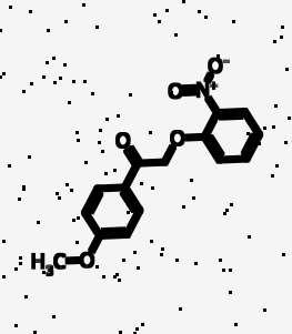 COc1ccc(C(=O)COc2ccccc2[N+](=O)[O-])cc1